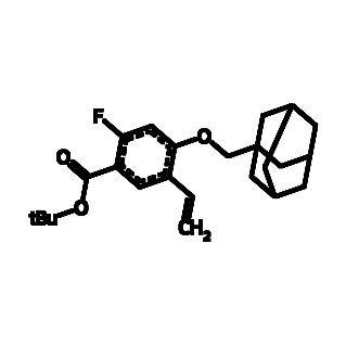 C=Cc1cc(C(=O)OC(C)(C)C)c(F)cc1OCC12CC3CC(CC(C3)C1)C2